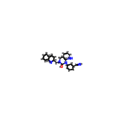 N#Cc1cccc(N2C(=O)N(Cc3ccc4ccccc4n3)CC3=C2NCC=C3)c1